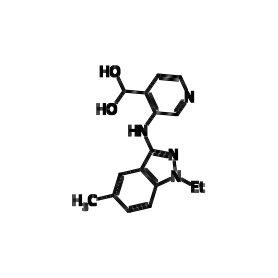 CCn1nc(Nc2cnccc2C(O)O)c2cc(C)ccc21